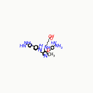 Cc1ncc(CNc2ccc(-c3ccc(C(=N)N)cc3)cc2)c(CNCCCCCC(=O)O)c1OCc1ccc(C(=N)N)cc1